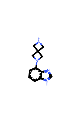 c1cc(N2CC3(CNC3)C2)c2nc[nH]c2c1